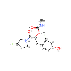 CC(C)(C)NC(=O)OC(Cc1ccc(O)cc1F)C(=O)N1CCC(F)C1